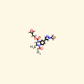 CC(=O)N1c2ccc(-c3cnn(C4COC4)c3)cc2N(C(=O)OCCC2COC2)CC1C